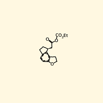 CCOC(=O)OC(=O)C[C@@H]1CCc2ccc3c(c21)CCO3